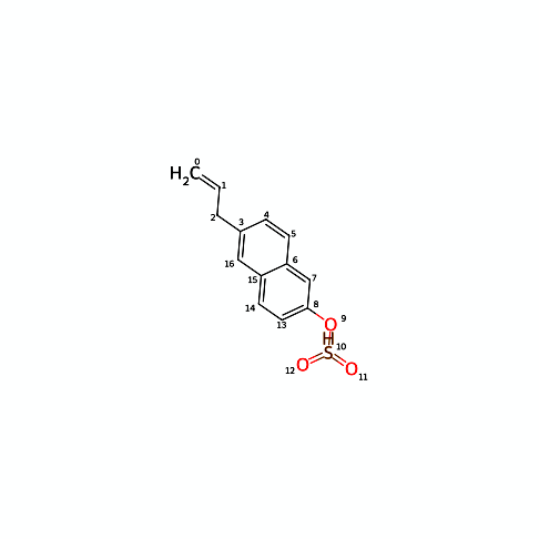 C=CCc1ccc2cc(O[SH](=O)=O)ccc2c1